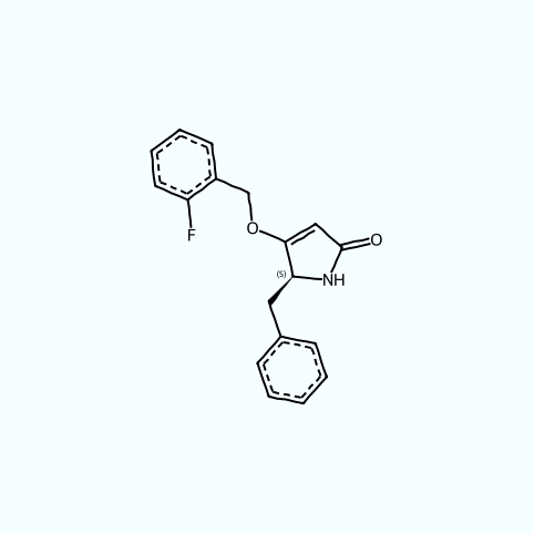 O=C1C=C(OCc2ccccc2F)[C@H](Cc2ccccc2)N1